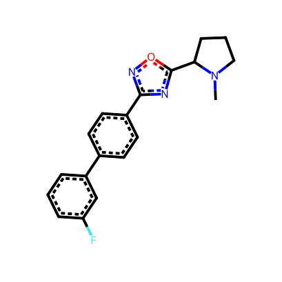 CN1CCCC1c1nc(-c2ccc(-c3cccc(F)c3)cc2)no1